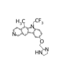 Cc1c2ccncc2cc2c3cc(OCC4=NCCN4)ccc3n(CC(F)(F)F)c12